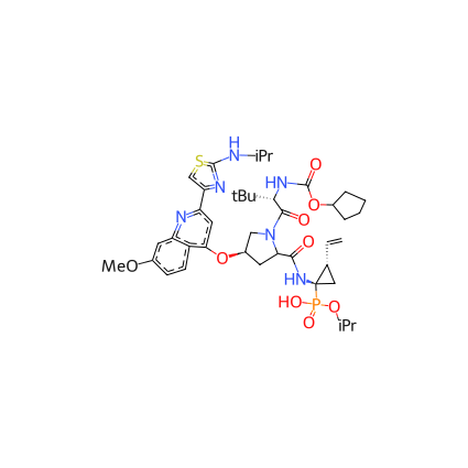 C=C[C@@H]1C[C@]1(NC(=O)C1C[C@@H](Oc2cc(-c3csc(NC(C)C)n3)nc3cc(OC)ccc23)CN1C(=O)[C@@H](NC(=O)OC1CCCC1)C(C)(C)C)P(=O)(O)OC(C)C